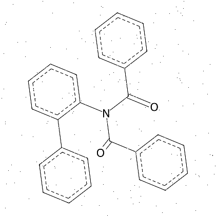 O=C(c1ccccc1)N(C(=O)c1ccccc1)c1ccccc1-c1ccccc1